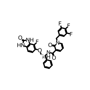 O=C(N[C@@H](COc1ccc2[nH]c(=O)[nH]c2c1F)c1ccccc1)c1cccn(Cc2cc(F)c(F)c(F)c2)c1=O